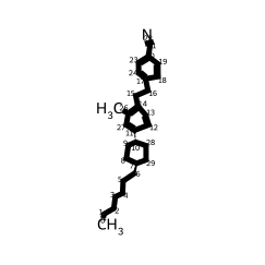 CCCCCCC[C@H]1CC[C@H](c2ccc(CCc3ccc(C#N)cc3)c(C)c2)CC1